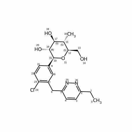 CCc1ccc(Cc2cc([C@@H]3O[C@H](CO)[C@@H](C)[C@H](O)[C@H]3O)ccc2Cl)nn1